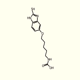 O=C(O)NCCCCCOc1ccc2[nH]c(S)nc2c1